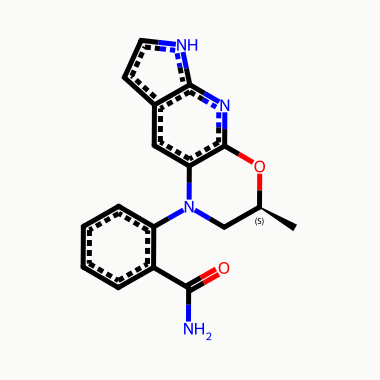 C[C@H]1CN(c2ccccc2C(N)=O)c2cc3cc[nH]c3nc2O1